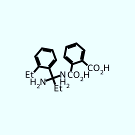 CCc1ccccc1C(N)(N)CC.O=C(O)c1ccccc1C(=O)O